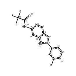 Cc1cc(-c2cc3cnc(NC(=O)C(C)(C)C)cc3[nH]2)ccn1